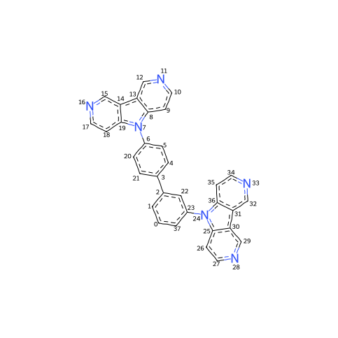 c1cc(-c2ccc(-n3c4ccncc4c4cnccc43)cc2)cc(-n2c3ccncc3c3cnccc32)c1